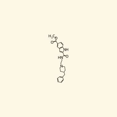 COC(=O)c1ccc2[nH]c(C(=O)NCCN3CCC(Cc4ccccc4)CC3)cc2c1